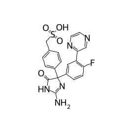 NC1=NC(c2ccc(CS(=O)(=O)O)cc2)(c2ccc(F)c(-c3cnccn3)c2)C(=O)N1